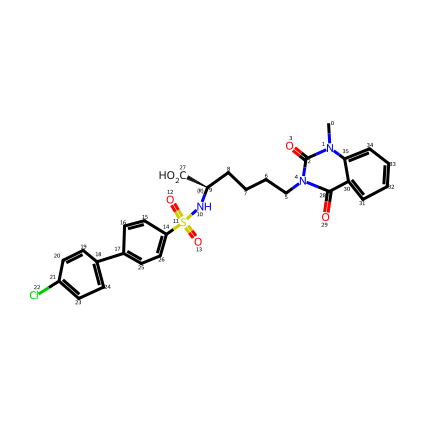 Cn1c(=O)n(CCCC[C@@H](NS(=O)(=O)c2ccc(-c3ccc(Cl)cc3)cc2)C(=O)O)c(=O)c2ccccc21